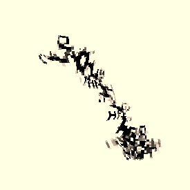 N[C@@H](Cc1ccc(N(CCCl)CCCl)cc1)C(=O)NCC(=O)NCC(=O)NCCCCC(O)(P(=O)(O)O)P(=O)(O)O